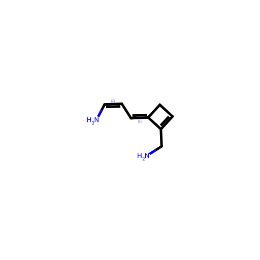 N/C=C\C=C1/CC=C1CN